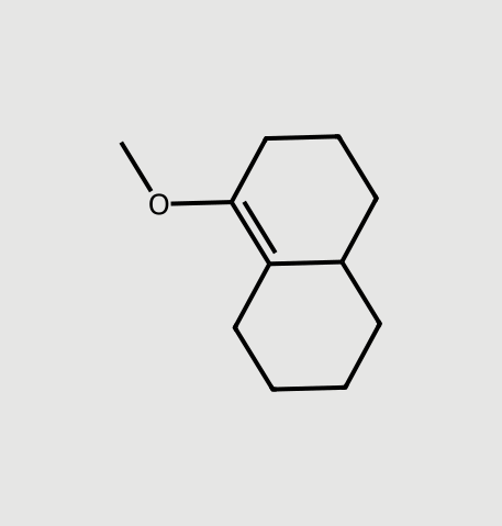 COC1=C2CCCCC2CCC1